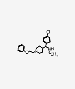 CCNC(c1ccc(Cl)cc1)C1CCN(CCOc2ccccc2)CC1